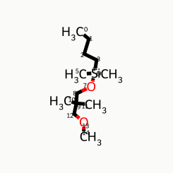 CCCC[Si](C)(C)OCC(C)(C)COC